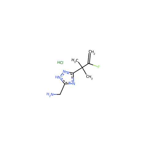 C=C(F)C(C)(C)c1n[nH]c(CN)n1.Cl